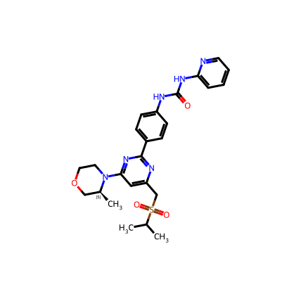 CC(C)S(=O)(=O)Cc1cc(N2CCOC[C@@H]2C)nc(-c2ccc(NC(=O)Nc3ccccn3)cc2)n1